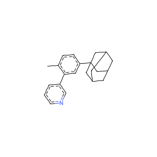 Cc1ccc(C23CC4CC(CC(C4)C2)C3)cc1-c1cccnc1